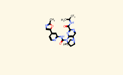 Cc1ncc(-c2ccnc(NC(=O)N3c4nc(C(=O)NC(C)C(F)(F)F)ncc4N4CC[C@H]3C4)c2)o1